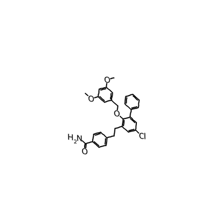 COc1cc(COc2c(CCc3ccc(C(N)=O)cc3)cc(Cl)cc2-c2ccccc2)cc(OC)c1